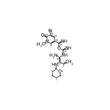 C=C/C(NC1CCCCO1)=C(/N)NC(=N)OC(=N)c1cc(Br)c(=O)n(C)c1